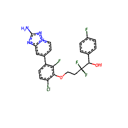 Nc1nc2cc(-c3ccc(Cl)c(OCCC(F)(F)C(O)c4ccc(F)cc4)c3F)ccn2n1